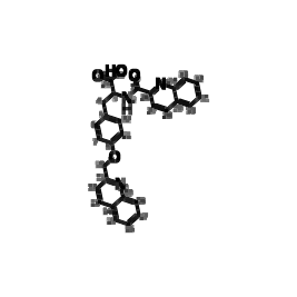 O=C(NC(Cc1ccc(OCc2ccc3ccccc3n2)cc1)C(=O)O)c1ccc2ccccc2n1